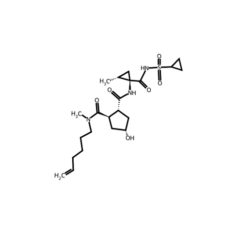 C=CCCCCN(C)C(=O)[C@@H]1C[C@@H](O)C[C@H]1C(=O)N[C@]1(C(=O)NS(=O)(=O)C2CC2)C[C@H]1C